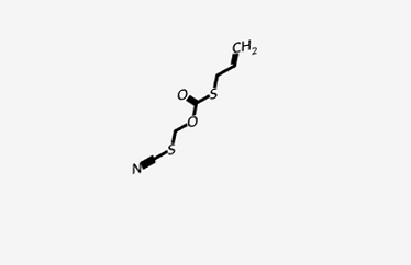 C=CCSC(=O)OCSC#N